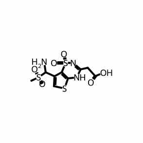 CS(=O)(=O)C(N)c1csc2c1S(=O)(=O)N=C(CC(=O)O)N2